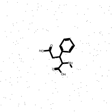 CNC(C(=O)O)C(CC(=O)O)c1ccccc1